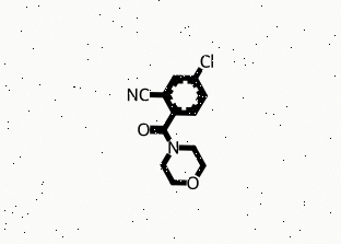 N#Cc1cc(Cl)ccc1C(=O)N1CCOCC1